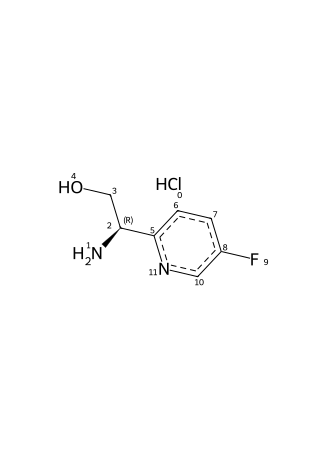 Cl.N[C@@H](CO)c1ccc(F)cn1